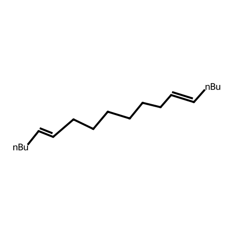 [CH2]CCCC=CCCCCCCC=CCCCC